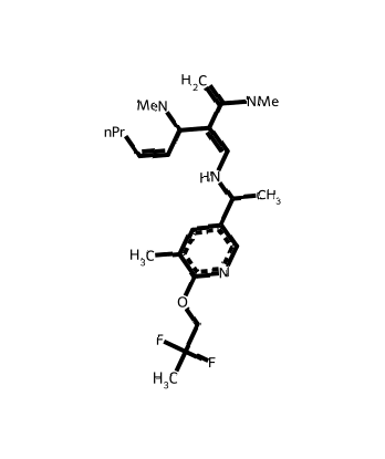 C=C(NC)/C(=C/NC(C)c1cnc(OCC(C)(F)F)c(C)c1)C(/C=C\CCC)NC